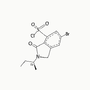 CC[C@H](C)N1Cc2cc(Br)cc(S(=O)(=O)Cl)c2C1=O